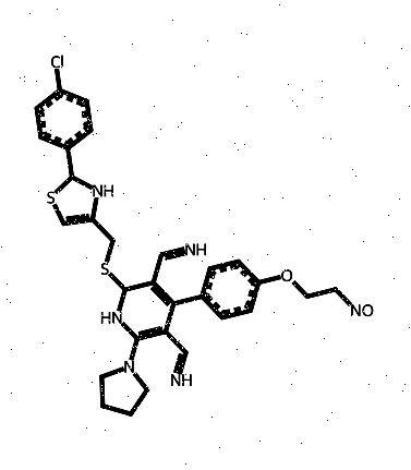 N=CC1=C(N2CCCC2)NC(SCC2=CSC(c3ccc(Cl)cc3)N2)C(C=N)=C1c1ccc(OCCN=O)cc1